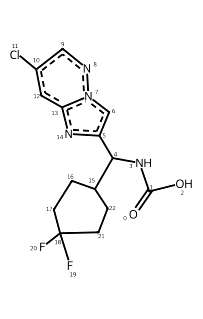 O=C(O)NC(c1cn2ncc(Cl)cc2n1)C1CCC(F)(F)CC1